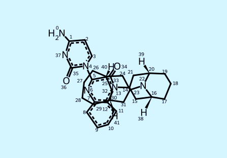 Nc1ccn(-c2nc3ccccc3n(C3C[C@H]4CCC[C@@H](C3)N4C3C[C@H]4CCCC[C@@H](C3)C4)c2=O)c(=O)n1